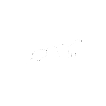 CC(C)CC(I)Oc1ccc(O)cc1